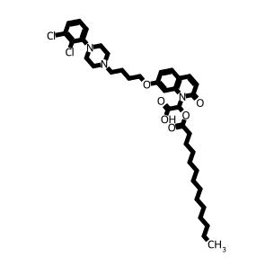 CCCCCCCCCCCCCC(=O)OC(C(=O)O)n1c(=O)ccc2ccc(OCCCCN3CCN(c4cccc(Cl)c4Cl)CC3)cc21